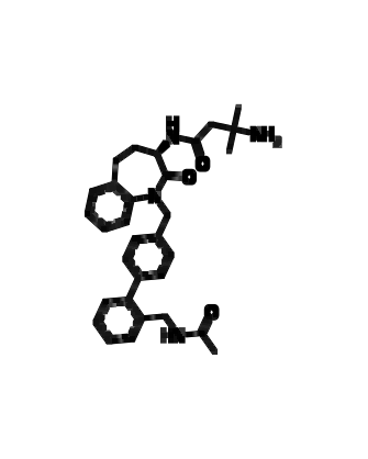 CC(=O)NCc1ccccc1-c1ccc(CN2C(=O)[C@H](NC(=O)CC(C)(C)N)CCc3ccccc32)cc1